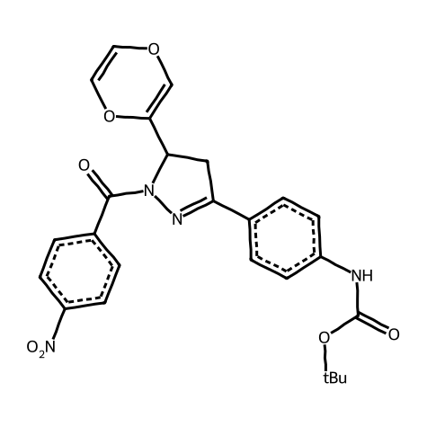 CC(C)(C)OC(=O)Nc1ccc(C2=NN(C(=O)c3ccc([N+](=O)[O-])cc3)C(C3=COC=CO3)C2)cc1